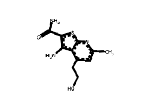 Cc1cc(CCO)c2c(N)c(C(N)=O)sc2n1